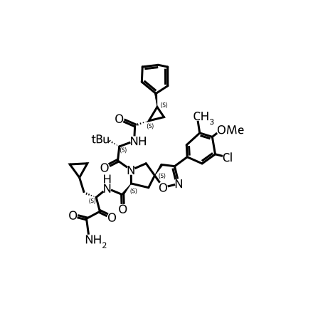 COc1c(C)cc(C2=NO[C@]3(C2)C[C@@H](C(=O)N[C@@H](CC2CC2)C(=O)C(N)=O)N(C(=O)[C@@H](NC(=O)[C@H]2C[C@@H]2c2ccccc2)C(C)(C)C)C3)cc1Cl